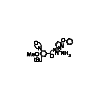 COc1c(N2CCOCC2)cc(C(=O)C[n+]2nc(N)n3nc(Oc4ccccc4)ccc32)cc1C(C)(C)C